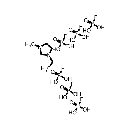 CCN1CCN(C)C1.O=P(O)(O)F.O=P(O)(O)F.O=P(O)(O)F.O=P(O)(O)F.O=P(O)(O)F.O=P(O)(O)F